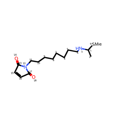 CSC(C)NCCCCCCCCN1C(=O)C=CC1=O